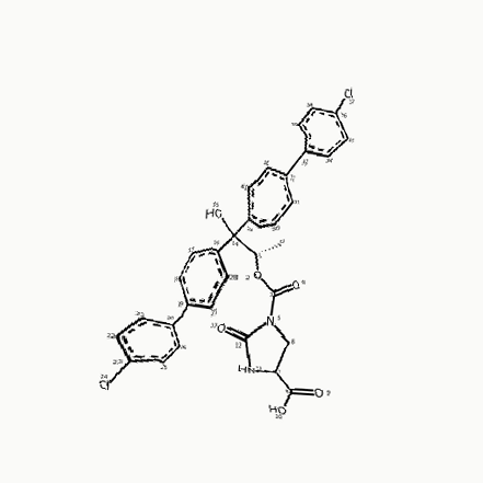 C[C@H](OC(=O)N1CC(C(=O)O)NC1=O)C(O)(c1ccc(-c2ccc(Cl)cc2)cc1)c1ccc(-c2ccc(Cl)cc2)cc1